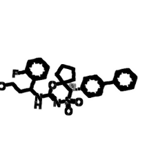 O=S1(=O)N=C(NC(CCO)c2ccccc2F)OC2(CCCC2)[C@@H]1c1ccc(-c2ccccc2)cc1